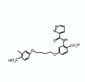 Cc1cc(OCCCCOc2ccc(C(=O)O)c(NC(=O)c3cccnn3)c2)ccc1C(=O)O